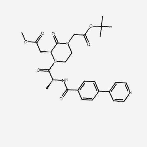 COC(=O)C[C@H]1C(=O)N(CC(=O)OC(C)(C)C)CCN1C(=O)[C@H](C)NC(=O)c1ccc(-c2ccncc2)cc1